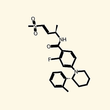 Cc1ccccc1[C@H]1CCCCN1c1ccc(C(=O)N[C@H](C)/C=C/S(C)(=O)=O)c(F)c1